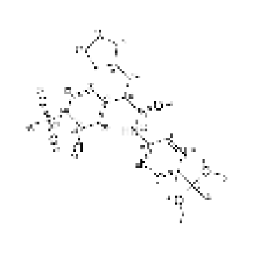 COC(C)(OC)c1cnc(NC(=O)C(CC2CCCC2)c2ccc(S(C)(=O)=O)c(Cl)c2)cn1